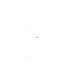 CC#C/C=C/[C@@H](C)[C@@H](C)[C@@H](C(=O)C(C)C)N(C)C(C)C